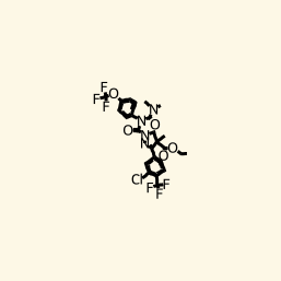 CCOC(=O)C1(C)CN(C(=O)N(C(=O)N(C)C)c2ccc(OC(F)(F)F)cc2)N=C1c1ccc(C(F)(F)F)c(Cl)c1